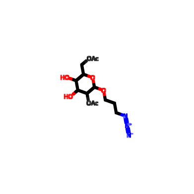 CC(=O)OCC1OC(OCCCN=[N+]=[N-])C(OC(C)=O)C(O)C1O